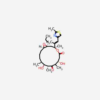 CCC[C@]12C[C@@](C)(C(C)=Cc3csc(C)n3)OC(=O)C[C@H](O)C(C)C(=O)[C@H](C)[C@@H](O)[C@@H](C)CCC[C@H]1O2